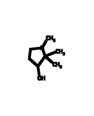 CN1CCC(O)C1(C)C